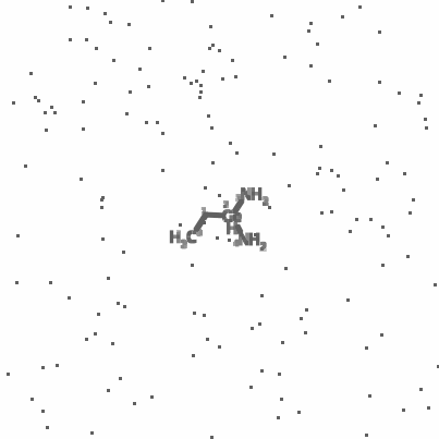 C[CH2][GeH]([NH2])[NH2]